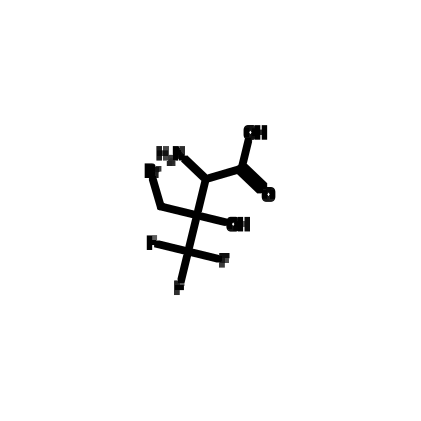 NC(C(=O)O)C(O)(CBr)C(F)(F)F